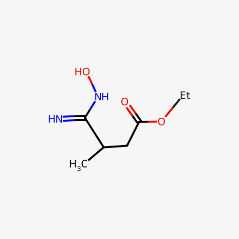 CCOC(=O)CC(C)C(=N)NO